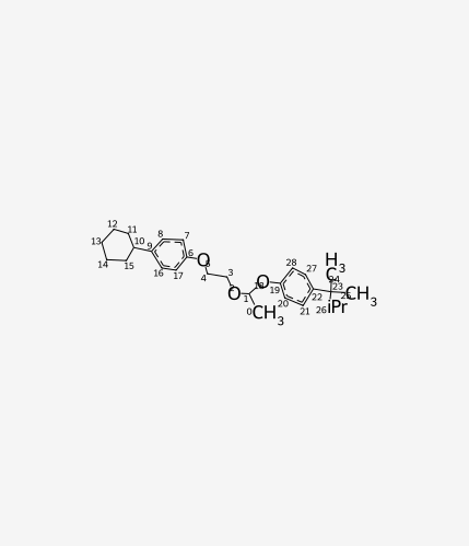 CC(OCCOc1ccc(C2CCCCC2)cc1)Oc1ccc(C(C)(C)C(C)C)cc1